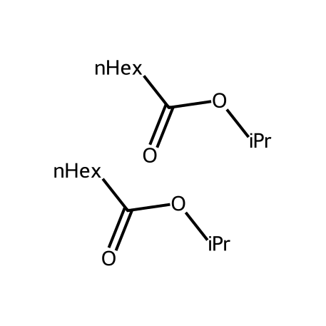 CCCCCCC(=O)OC(C)C.CCCCCCC(=O)OC(C)C